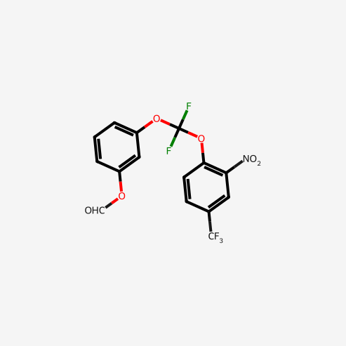 O=COc1cccc(OC(F)(F)Oc2ccc(C(F)(F)F)cc2[N+](=O)[O-])c1